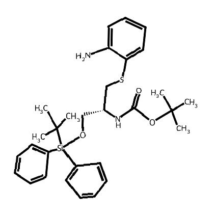 CC(C)(C)OC(=O)N[C@H](CO[Si](c1ccccc1)(c1ccccc1)C(C)(C)C)CSc1ccccc1N